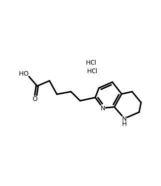 Cl.Cl.O=C(O)CCCCc1ccc2c(n1)NCCC2